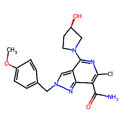 COc1ccc(Cn2cc3c(N4CC[C@@H](O)C4)nc(Cl)c(C(N)=O)c3n2)cc1